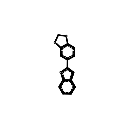 [c]1ccc2oc(-c3ccc4c(c3)OCO4)cc2c1